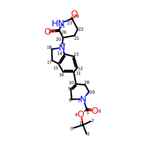 CC(C)(C)OC(=O)N1CC=C(c2ccc3c(c2)CCN3C2CCC(=O)NC2=O)CC1